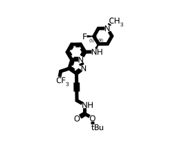 CN1CC[C@@H](Nc2cccc3c(CC(F)(F)F)c(C#CCNC(=O)OC(C)(C)C)nn23)[C@@H](F)C1